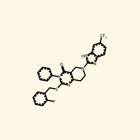 O=c1c2c(nc(SCc3ccccc3F)n1-c1ccccc1)CCN(c1nc3ccc(C(F)(F)F)cc3[nH]1)C2